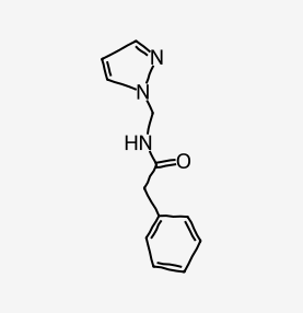 O=C(Cc1ccccc1)NCn1cccn1